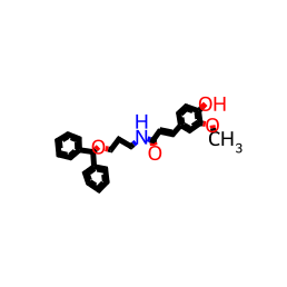 COc1cc(/C=C/C(=O)NCCCOC(c2ccccc2)c2ccccc2)ccc1O